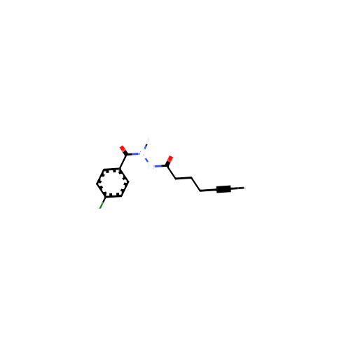 CCCC#CCCCC(=O)NN(C(=O)c1ccc(Cl)cc1)C(C)(C)C